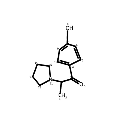 CC(C(=O)c1ccc(O)cc1)N1CCCC1